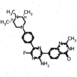 Cc1nc2cc(-c3nc(-c4ccc(N5C[C@@H](C)N(C)[C@@H](C)C5)cc4)c(F)nc3N)ccc2c(=O)[nH]1